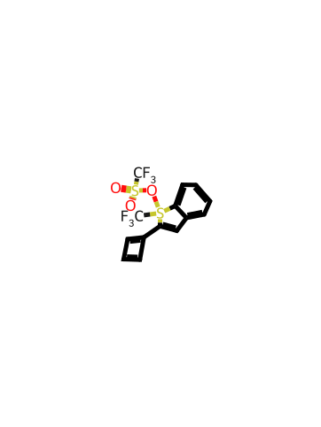 O=S(=O)(OS1(C(F)(F)F)C(C2=CC=C2)=Cc2ccccc21)C(F)(F)F